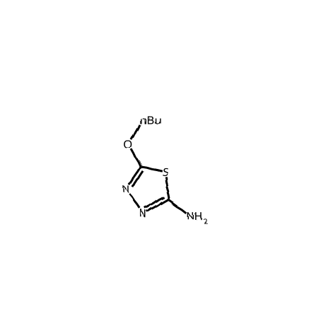 CCCCOc1nnc(N)s1